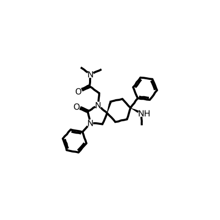 CN[C@]1(c2ccccc2)CC[C@@]2(CC1)CN(c1ccccc1)C(=O)N2CC(=O)N(C)C